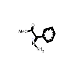 COC(=O)/C(=N/N)c1ccccc1